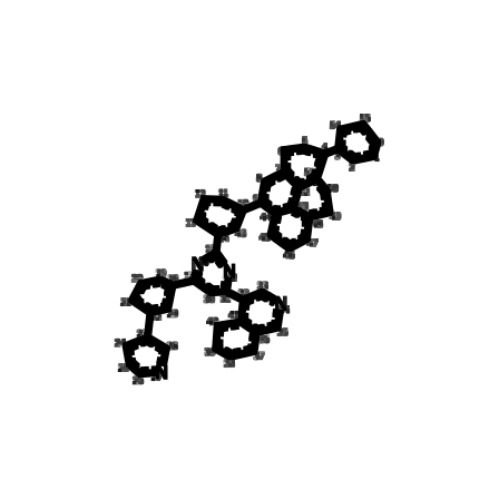 c1ccc(-c2ccc3cc(-c4cccc(-c5nc(-c6cccc(-c7cccnc7)c6)cc(-c6cncc7ccccc67)n5)c4)c4cccc5ccc2c3c54)cc1